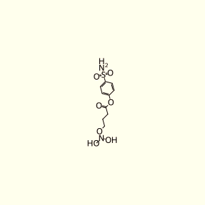 NS(=O)(=O)c1ccc(OC(=O)CCCON(O)O)cc1